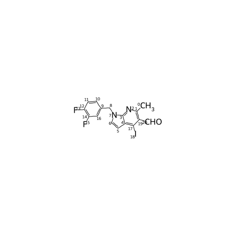 Cc1nc2c(ccn2Cc2ccc(F)c(F)c2)c(I)c1C=O